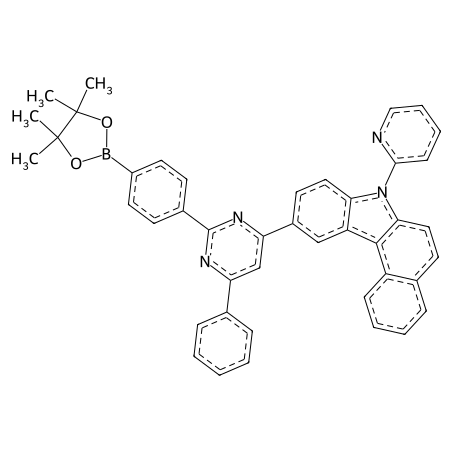 CC1(C)OB(c2ccc(-c3nc(-c4ccccc4)cc(-c4ccc5c(c4)c4c6ccccc6ccc4n5-c4ccccn4)n3)cc2)OC1(C)C